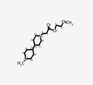 COCCOC(=O)CCN1CCC(C2CCN(C)CC2)CC1